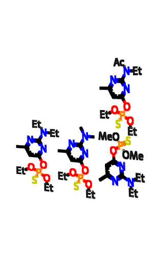 CCN(CC)c1nc(C)cc(OP(=S)(OC)OC)n1.CCOP(=S)(OCC)Oc1cc(C)nc(N(C)C)n1.CCOP(=S)(OCC)Oc1cc(C)nc(N(CC)C(C)=O)n1.CCOP(=S)(OCC)Oc1cc(C)nc(N(CC)CC)n1